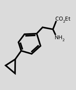 CCOC(=O)C(N)Cc1ccc(C2CC2)cc1